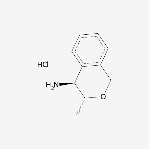 C[C@H]1OCc2ccccc2[C@@H]1N.Cl